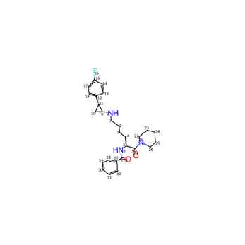 O=C(N[C@@H](CCCCN[C@@H]1C[C@H]1c1ccc(F)cc1)C(=O)N1CCCCC1)c1ccccc1